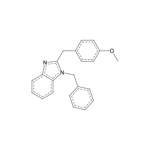 COc1ccc(Cc2nc3ccccc3n2Cc2ccccc2)cc1